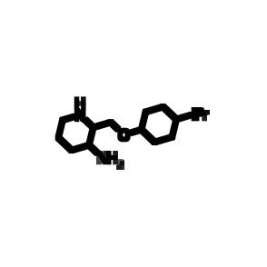 CC(C)C1CCC(OCC2NCCCC2N)CC1